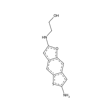 Nc1cc2cc3oc(NCCO)cc3cc2s1